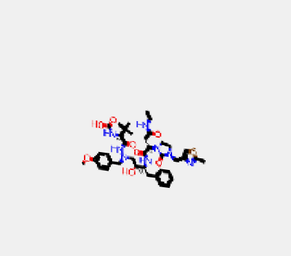 CCNC(=O)C[C@@H](C(=O)N[C@@H](Cc1ccccc1)[C@@H](O)CN(Cc1ccc(OC)cc1)NC(=O)[C@@H](NC(=O)O)C(C)(C)C)N1CCN(Cc2csc(C)n2)C1=O